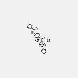 CC[C@H]1O[C@@H](n2ccc(NC(=O)c3ccccc3)nc2=O)[C@](C)(F)[C@@H]1OC(=O)c1ccccc1